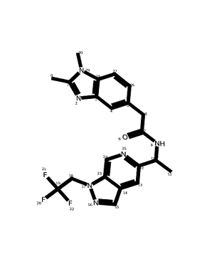 Cc1nc2cc(CC(=O)NC(C)c3cc4cnn(CC(F)(F)F)c4cn3)ccc2n1C